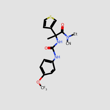 CCN(C#N)C(=O)C(C)(NC(=O)Nc1ccc(OC(F)(F)F)cc1)c1ccsc1